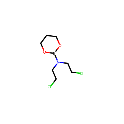 ClCCN(CCCl)B1OCCCO1